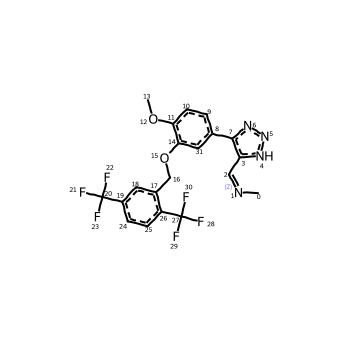 C/N=C\c1[nH]nnc1-c1ccc(OC)c(OCc2cc(C(F)(F)F)ccc2C(F)(F)F)c1